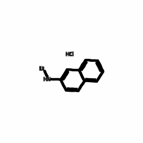 CCNc1ccc2ccccc2c1.Cl